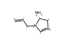 C=CCN1C=NCC1.N